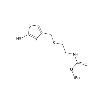 CC(C)(C)OC(=O)NCCSCc1csc(S)n1